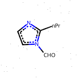 CCCc1nccn1C=O